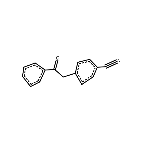 N#Cc1ccc(CC(=O)c2ccccc2)cc1